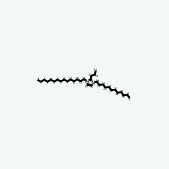 CCCCCCCCCCCCCCC[n+]1ccn(CCCCCCCCCCCC)c1CCC